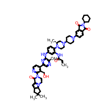 C=CC(=O)Nc1cc(Nc2nc(-c3ccnc(N4CCn5c(cc6c5CC(C)(C)C6)C4=O)c3CO)cnc2OC)ccc1N1CCN(C2CCN(c3ccc4c(c3)C(=O)N(C3CCCCC3)C4=O)CC2)C[C@@H]1C